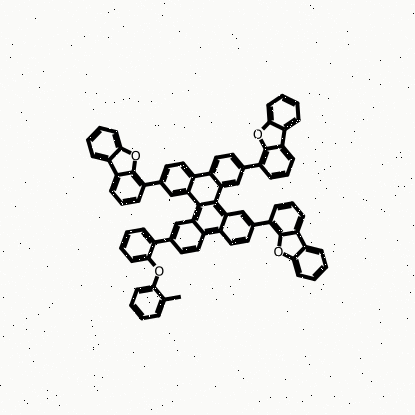 Cc1ccccc1Oc1ccccc1-c1ccc2c3ccc(-c4cccc5c4oc4ccccc45)cc3c3c4cc(-c5cccc6c5oc5ccccc56)ccc4c4ccc(-c5cccc6c5oc5ccccc56)cc4c3c2c1